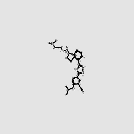 CC(C)Oc1ccc(-c2nc(-c3cccc4c3CCC4NSCCN(C)C)no2)cc1C#N